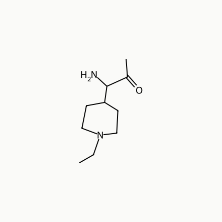 CCN1CCC(C(N)C(C)=O)CC1